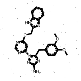 COc1ccc(Cc2nc(N)nn2-c2cc(OCc3nc4ccccc4[nH]3)ncn2)cc1OC